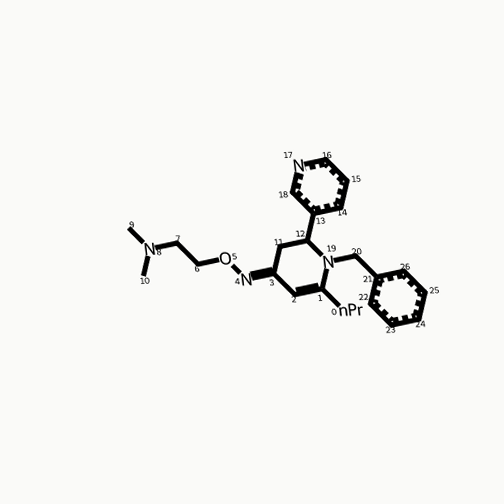 CCCC1=CC(=NOCCN(C)C)CC(c2cccnc2)N1Cc1ccccc1